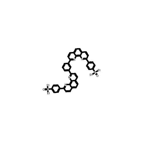 CCP(=O)(CC)c1ccc(-c2ccc3ccc4ccc(-c5cccc(-c6ccc7ccc8ccc(-c9ccc(P(=O)(CC)CC)cc9)nc8c7n6)c5)nc4c3n2)cc1